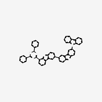 c1ccc(C2=NC(c3cccc4c3oc3ccc(-c5ccc6sc7ccc(-n8c9ccccc9c9ccccc98)cc7c6c5)cc34)=NC(c3ccccc3)N2)cc1